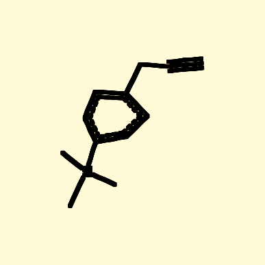 C#CCc1ccc([Si](C)(C)C)cc1